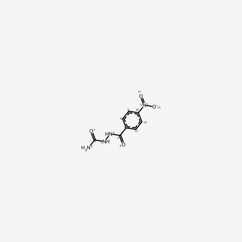 NC(=O)NNC(=O)c1ccc([N+](=O)[O-])cc1